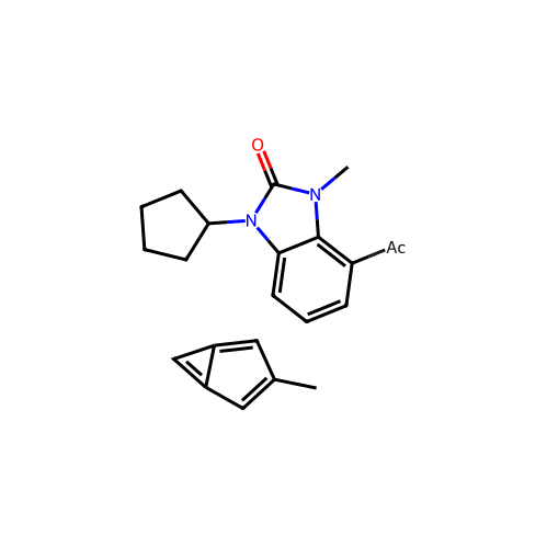 CC(=O)c1cccc2c1n(C)c(=O)n2C1CCCC1.Cc1cc2cc-2c1